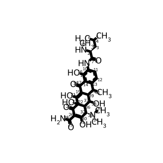 CN[C@@H](CC(C)C)C(=O)Nc1ccc2c(c1O)C(=O)C1=C(O)C3(O)C(=O)C(C(N)=O)=C(O)[C@@H](N(C)C)C3C(O)C1C2C